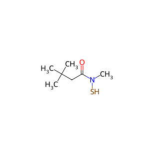 CN(S)C(=O)CC(C)(C)C